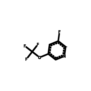 Fc1[c]ncc(OC(F)(F)F)c1